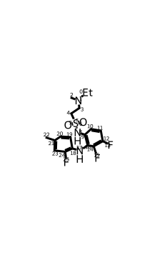 CCN(C)CCS(=O)(=O)Nc1ccc(F)c(F)c1Nc1ccc(C)cc1F